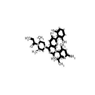 C=CC(=O)N1[C@H](C)CN(c2nc(=O)n(-c3c(C)cc(N)nc3C(C)C)c3nc(-c4c(O)cccc4F)c(F)cc23)C[C@@H]1C